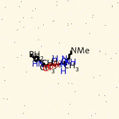 BCc1ccc(CNC(C)(C)C(=O)COCCOCCNC(C)(C)NC(N)CCCCNC)cc1